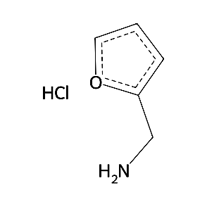 Cl.NCc1ccco1